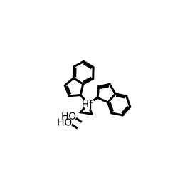 C1=C[CH]([Hf]2([CH]3C=Cc4ccccc43)[CH2][CH2]2)c2ccccc21.CO.CO